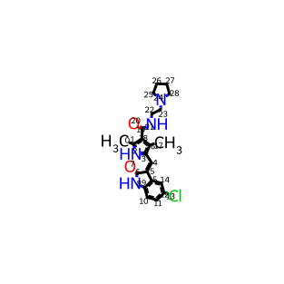 Cc1[nH]c(/C=C2\C(=O)Nc3ccc(Cl)cc32)c(C)c1C(=O)NCCN1CCCC1